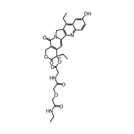 CCNC(=O)COCC(=O)NCC(=O)O[C@]1(CC)C(=O)OCc2c1cc1n(c2=O)Cc2c-1nc1ccc(O)cc1c2CC